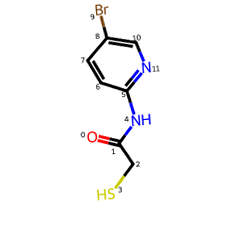 O=C(CS)Nc1ccc(Br)cn1